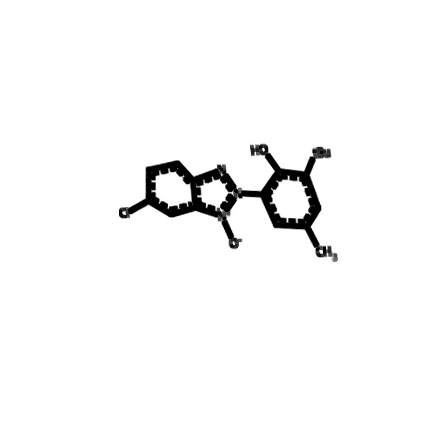 Cc1cc(-n2nc3ccc(Cl)cc3[n+]2[O-])c(O)c(C(C)(C)C)c1